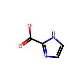 [O]C(=O)c1ncc[nH]1